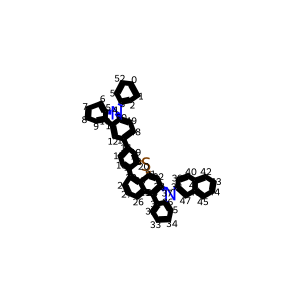 c1ccc(-n2c3ccccc3c3cc(-c4ccc5c(c4)Sc4cc6c(c7cccc-5c47)c4ccccc4n6-c4ccc5ccccc5c4)ccc32)cc1